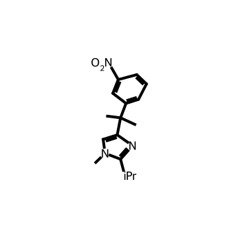 CC(C)c1nc(C(C)(C)c2cccc([N+](=O)[O-])c2)cn1C